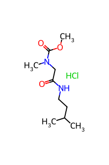 COC(=O)N(C)CC(=O)NCCC(C)C.Cl